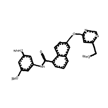 COCc1cc(Oc2ccc3c(C(=O)Nc4cc(OC)cc(OC)c4)cccc3c2)ncn1